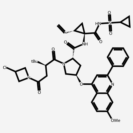 C=C[C@@H]1C[C@]1(NC(=O)[C@@H]1C[C@@H](Oc2cc(-c3ccccc3)nc3cc(OC)ccc23)CN1C(=O)[C@@H](CC(=O)N1CC(Cl)C1)C(C)(C)C)C(=O)NS(=O)(=O)C1CC1